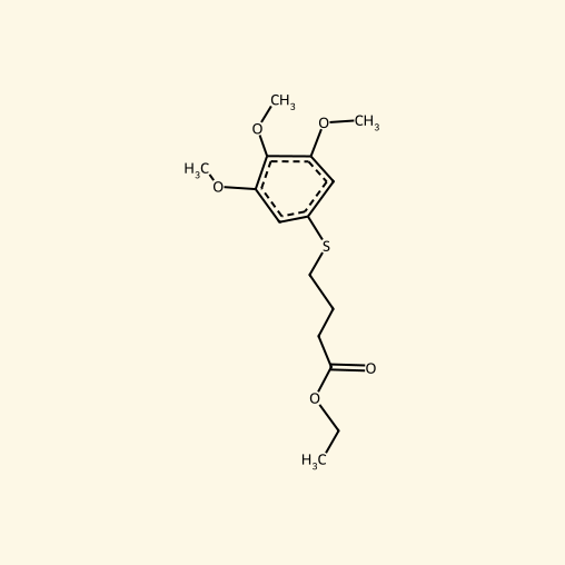 CCOC(=O)CCCSc1cc(OC)c(OC)c(OC)c1